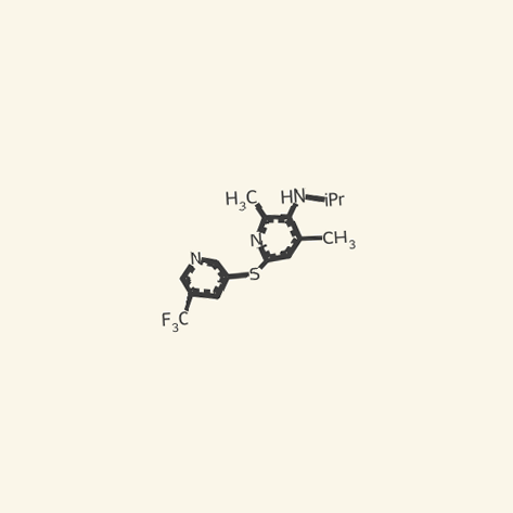 Cc1cc(Sc2cncc(C(F)(F)F)c2)nc(C)c1NC(C)C